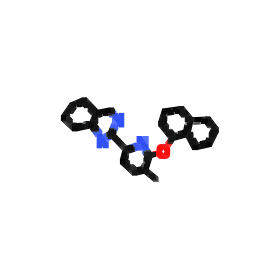 Cc1ccc(-c2ncc3ccccc3n2)nc1Oc1cccc2ccccc12